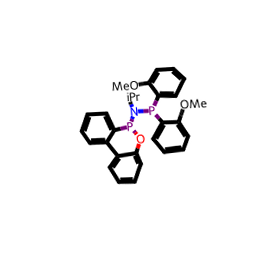 COc1ccccc1P(c1ccccc1OC)N(C(C)C)P1Oc2ccccc2-c2ccccc21